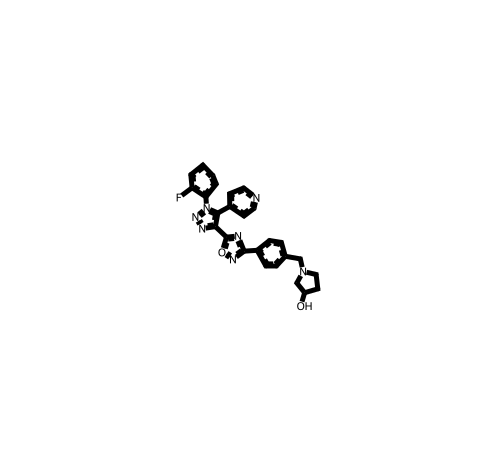 OC1CCN(Cc2ccc(-c3noc(-c4nnn(-c5ccccc5F)c4-c4ccncc4)n3)cc2)C1